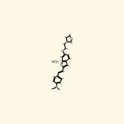 CN(C)c1ccc(C=Cc2cc3ccc(OCCN4CCOC4)cc3o2)cc1.Cl